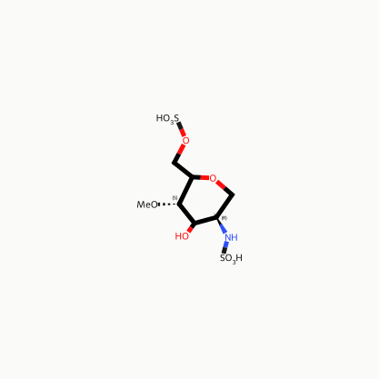 CO[C@@H]1C(COS(=O)(=O)O)OC[C@@H](NS(=O)(=O)O)C1O